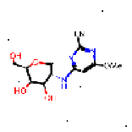 COc1cc(N[C@H]2CO[C@H](CO)[C@H](O)[C@@H]2O)nc(C#N)n1